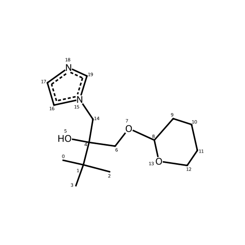 CC(C)(C)C(O)(COC1CCCCO1)Cn1ccnc1